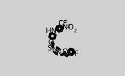 O=[N+]([O-])c1ccc(NC2CCC(OCC(=S)N3CCN(CC4Cc5cc(F)ccc5O4)CC3)CC2)cc1C(F)(F)F